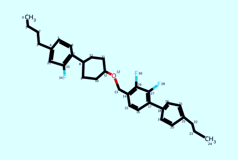 CCCCc1ccc(C2CCC(OCc3ccc(-c4ccc(CCC)cc4)c(F)c3F)CC2)c(F)c1